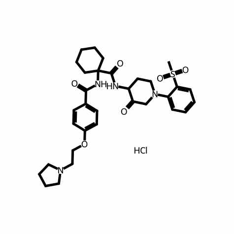 CS(=O)(=O)c1ccccc1N1CCC(NC(=O)C2(NC(=O)c3ccc(OCCN4CCCC4)cc3)CCCCC2)C(=O)C1.Cl